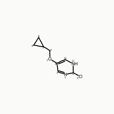 ClC1N=CC(OCC2CC2)=CN1